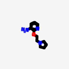 Nc1cccnc1OCCN1CCCC1